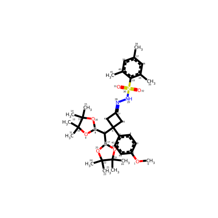 COc1ccc(C2(C(B3OC(C)(C)C(C)(C)O3)B3OC(C)(C)C(C)(C)O3)CC(=NNS(=O)(=O)c3c(C)cc(C)cc3C)C2)cc1